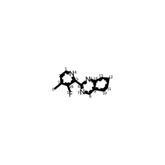 Cc1ccnc(-c2ncc3ccccc3n2)c1F